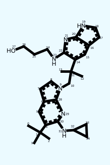 CC(C)(C)c1cc2ccn(CC(C)(C)c3cc4cc[nH]c4nc3NCCCO)c2nc1NC1CC1